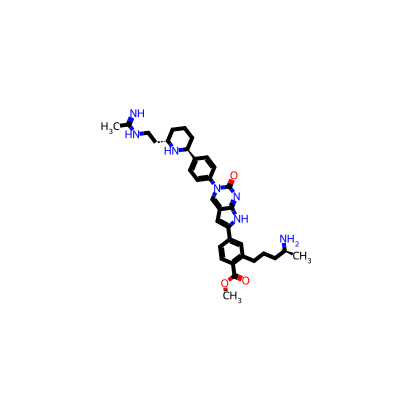 COC(=O)c1ccc(-c2cc3cn(-c4ccc([C@@H]5CCC[C@@H](CCNC(C)=N)N5)cc4)c(=O)nc3[nH]2)cc1CCC[C@H](C)N